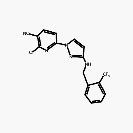 N#Cc1ccc(-n2ccc(NCc3ccccc3C(F)(F)F)n2)nc1Cl